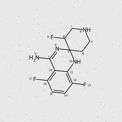 NC1=NC2(CCNCC2F)Nc2c(F)ccc(F)c21